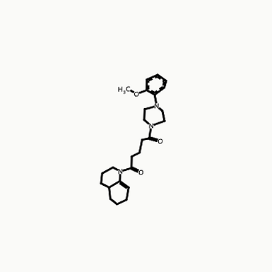 COc1ccccc1N1CCN(C(=O)CCCC(=O)N2CCCC3CCCC=C32)CC1